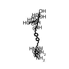 Cc1nc(C(=O)NC(=N)NCCCCc2ccc(-c3ccc(CCC(=O)NCCCCN(CC(O)C(O)C(O)CCO)CC(O)[C@@H](O)C(O)CCO)cc3)cc2)c(N)nc1N